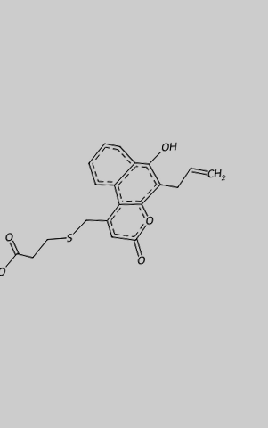 C=CCc1c(O)c2ccccc2c2c(CSCCC(=O)O)cc(=O)oc12